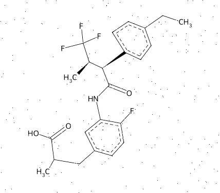 CCc1ccc([C@@H](C(=O)Nc2cc(CC(C)C(=O)O)ccc2F)[C@@H](C)C(F)(F)F)cc1